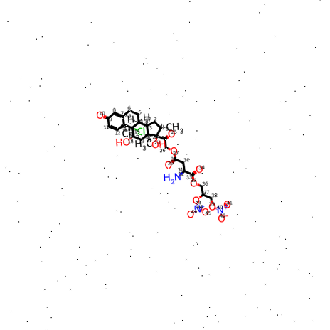 C[C@H]1C[C@H]2[C@@H]3CCC4=CC(=O)C=C[C@]4(C)[C@@]3(Cl)[C@@H](O)C[C@]2(C)C1(O)C(=O)COC(=O)CC(N)C(=O)OCC(CO[N+](=O)[O-])O[N+](=O)[O-]